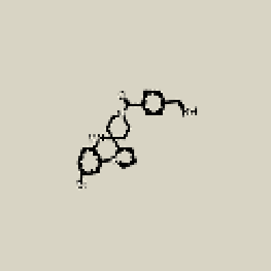 N=Cc1ccc(C(=O)N2CCC3(CC2)Nc2ccc(Br)cc2-n2cccc23)cc1